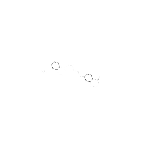 COc1cccc2c1CCCC2CN(C)CCSc1ccc2c(c1)OCCC2=O